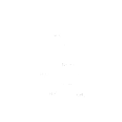 CCCN1CC[C@H](C)C(C)[C@@H]1C